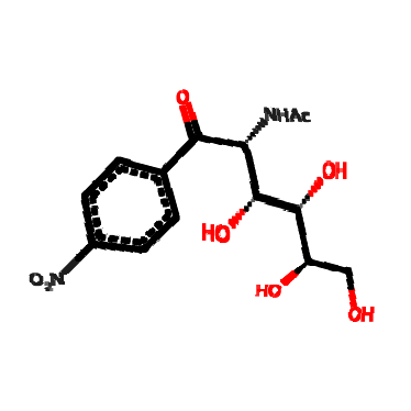 CC(=O)N[C@@H](C(=O)c1ccc([N+](=O)[O-])cc1)[C@@H](O)[C@H](O)[C@H](O)CO